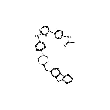 CC(=O)Nc1ccc(-c2ccnc(Nc3ccc(N4CCN(Cc5ccc6c(c5)Cc5ccccc5-6)CC4)cc3)n2)cc1